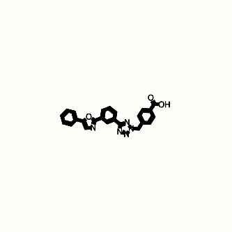 O=C(O)c1ccc(Cn2nnc(-c3cccc(-c4ncc(-c5ccccc5)o4)c3)n2)cc1